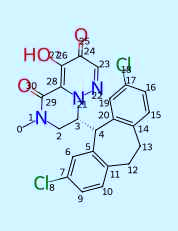 CN1C[C@@H](C2c3cc(Cl)ccc3CCc3ccc(Cl)cc32)n2ncc(=O)c(O)c2C1=O